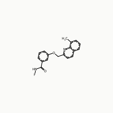 Cc1cccc2ccc(COc3cccc(C(=O)NF)c3)nc12